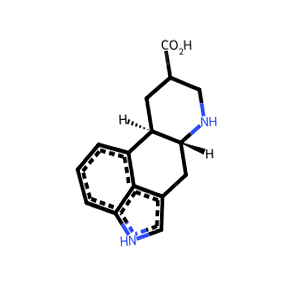 O=C(O)C1CN[C@@H]2Cc3c[nH]c4cccc(c34)[C@H]2C1